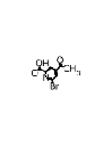 CC(=O)c1cc(Br)nc(C(=O)O)c1